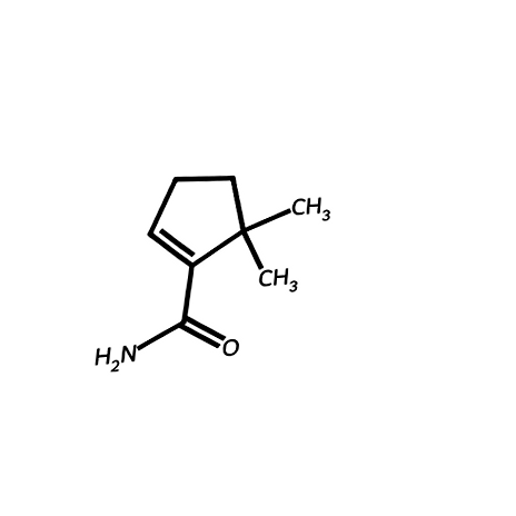 CC1(C)CCC=C1C(N)=O